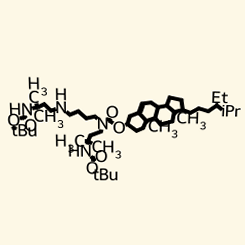 CC[C@H](CCCC1CCC2C3CC=C4CC(OC(=O)N(CCCCNCCC(C)(C)NC(=O)OC(C)(C)C)CCC(C)(C)NC(=O)OC(C)(C)C)CCC4(C)C3CCC12C)C(C)C